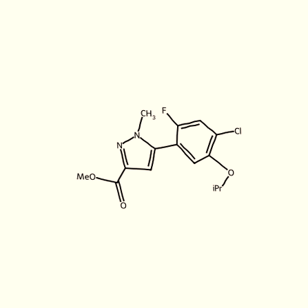 COC(=O)c1cc(-c2cc(OC(C)C)c(Cl)cc2F)n(C)n1